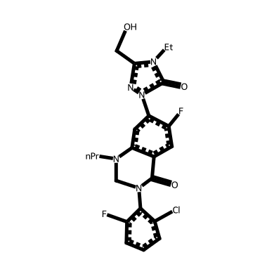 CCCN1CN(c2c(F)cccc2Cl)C(=O)c2cc(F)c(-n3nc(CO)n(CC)c3=O)cc21